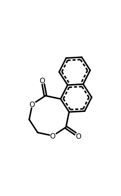 O=C1OCCOC(=O)c2c1ccc1ccccc21